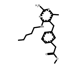 CCCCCNc1nc(N)nc(C)c1Cc1cccc(CC(=O)OC)c1